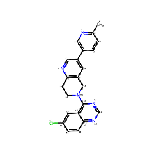 Cc1ccc(-c2cnc3c(c2)CN(c2ncnc4ccc(Cl)cc24)CC3)cn1